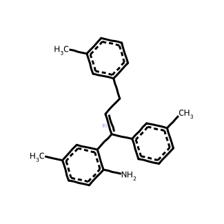 Cc1cccc(C/C=C(\c2cccc(C)c2)c2cc(C)ccc2N)c1